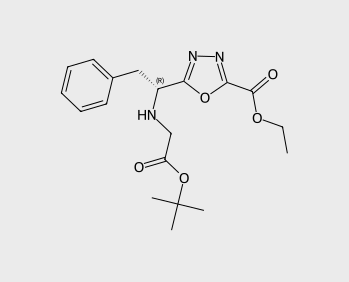 CCOC(=O)c1nnc([C@@H](Cc2ccccc2)NCC(=O)OC(C)(C)C)o1